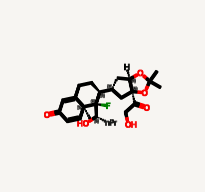 CCC[C@H](O)[C@@]1(F)[C@H]([C@@H]2C[C@H]3OC(C)(C)O[C@@]3(C(=O)CO)C2)CCC2=CC(=O)C=C[C@@]21C